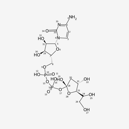 Nc1ccn([C@@H]2O[C@H](COP(=O)(O)OP(=O)(O)O[C@]3(O)C[C@H](O)[C@@H](C(O)CO)O3)[C@@H](O)[C@H]2O)c(=O)n1